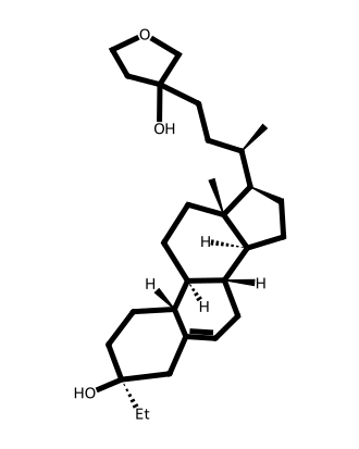 CC[C@]1(O)CC[C@H]2C(=CC[C@@H]3[C@@H]2CC[C@]2(C)[C@@H]([C@H](C)CCC4(O)CCOC4)CC[C@@H]32)C1